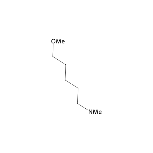 CNCCCCCOC